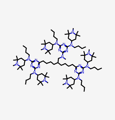 CCCCN(c1nc(CCCCC(CCCCc2nc(N(CCCC)C3CC(C)(C)N(C)C(C)(C)C3)nc(N(CCCC)C3CC(C)(C)N(C)C(C)(C)C3)n2)CN(C)c2nc(N(CCCC)C3CC(C)(C)N(C)C(C)(C)C3)nc(N(CCCC)C3CC(C)(C)N(C)C(C)(C)C3)n2)nc(N(CCCC)C2CC(C)(C)N(C)C(C)(C)C2)n1)C1CC(C)(C)N(C)C(C)(C)C1